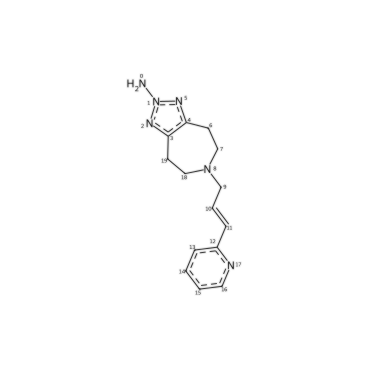 Nn1nc2c(n1)CCN(CC=Cc1ccccn1)CC2